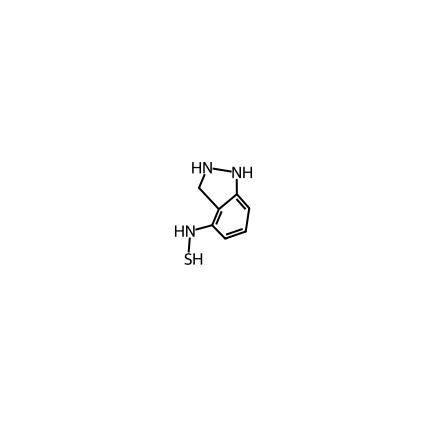 SNc1cccc2c1CNN2